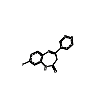 O=C1CC(c2ccnnc2)=Nc2ccc(I)cc2N1